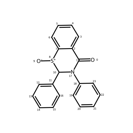 O=C1c2ccccc2[S+]([O-])C(c2ccccc2)N1c1ccccc1